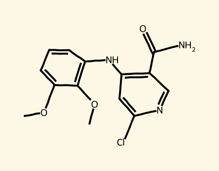 COc1cccc(Nc2cc(Cl)ncc2C(N)=O)c1OC